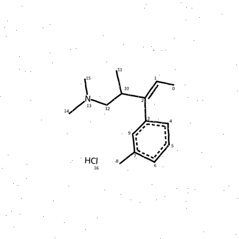 C/C=C(\c1cccc(C)c1)C(C)CN(C)C.Cl